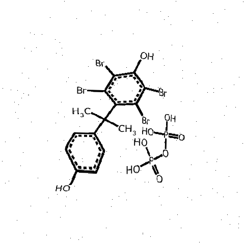 CC(C)(c1ccc(O)cc1)c1c(Br)c(Br)c(O)c(Br)c1Br.O=P(O)(O)OP(=O)(O)O